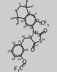 CC1(C)CCC(C)(C)c2cc(C(F)(F)F)c(N3C(=O)SC(=O)C3Cc3cccc(OC(F)(F)F)c3)cc21